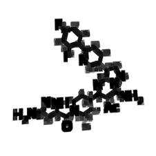 CC(=O)c1c([C@@H]2CCN(C(=O)c3cc(N)n[nH]3)[C@@H](C)C2)nc2c(-c3ccc(-c4ccc(F)cc4F)nc3)cnn2c1N